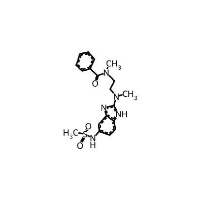 CN(CCN(C)c1nc2cc(NS(C)(=O)=O)ccc2[nH]1)C(=O)c1ccccc1